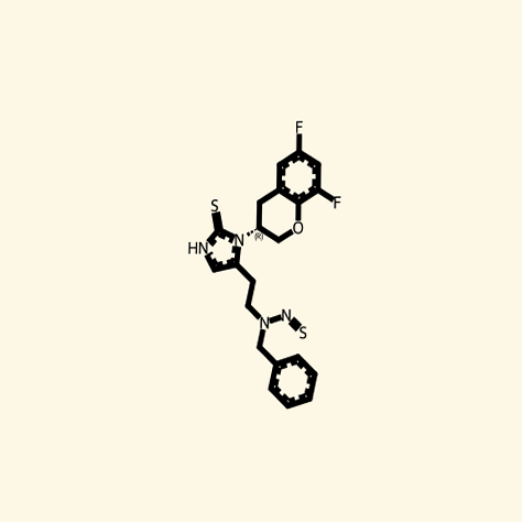 Fc1cc(F)c2c(c1)C[C@@H](n1c(CCN(Cc3ccccc3)N=S)c[nH]c1=S)CO2